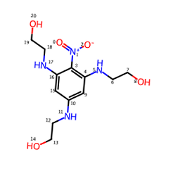 O=[N+]([O-])c1c(NCCO)cc(NCCO)cc1NCCO